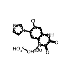 CCCCn1c(=O)c(=O)[nH]c2cc(Cl)c(-n3ccnc3)cc21.O=S(=O)(O)O